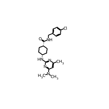 Cc1cc(N(C)C)nc(N[C@H]2CC[C@@H](C(=O)NCc3ccc(Cl)cc3)CC2)n1